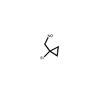 CCC1(CN=O)CC1